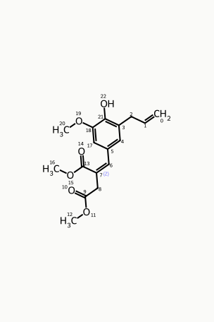 C=CCc1cc(/C=C(/CC(=O)OC)C(=O)OC)cc(OC)c1O